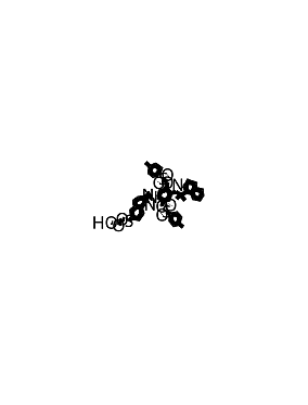 Cc1ccc(S(=O)(=O)Oc2cc(-n3nc4ccc5cc(SOOO)ccc5c4n3)c(OS(=O)(=O)c3ccc(C)cc3)cc2C2=Nc3ccc4ccccc4c3C2(C)C)cc1